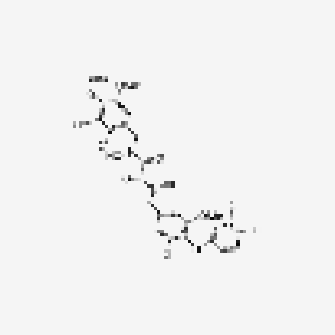 CCCCOc1c(OC)cc(CN(O)C(=O)C(=O)N(O)Cc2cc(Cl)c(Oc3ccc(Cl)c(Cl)c3)c(OC)c2)c(Cl)c1Cl